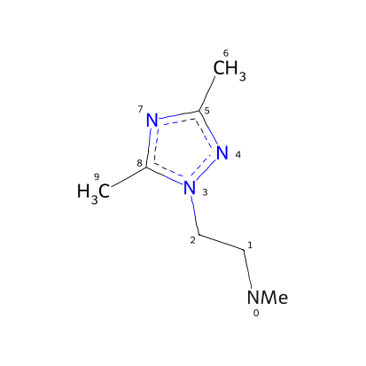 CNCCn1nc(C)nc1C